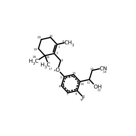 CC1=C(COc2ccc(F)c(C(O)CC#N)c2)C(C)(C)CCC1